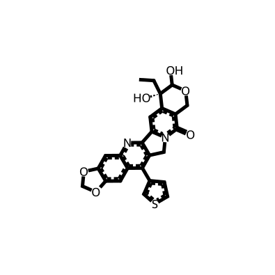 CC[C@]1(O)c2cc3n(c(=O)c2COC1O)Cc1c-3nc2cc3c(cc2c1-c1ccsc1)OCO3